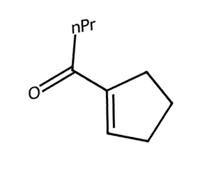 CCCC(=O)C1=CCCC1